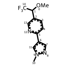 COC(c1ccc(-c2cnn(C)c2)nc1)C(F)(F)F